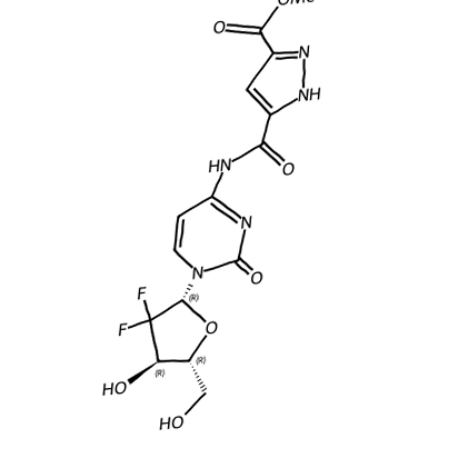 COC(=O)c1cc(C(=O)Nc2ccn([C@@H]3O[C@H](CO)[C@@H](O)C3(F)F)c(=O)n2)[nH]n1